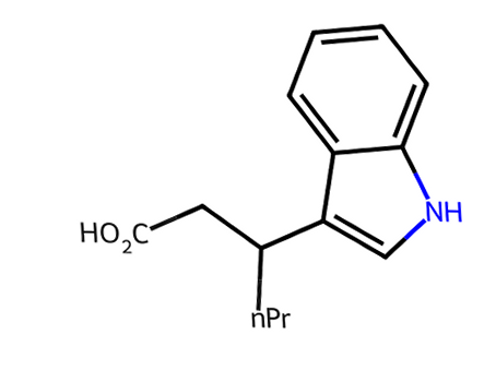 CCCC(CC(=O)O)c1c[nH]c2ccccc12